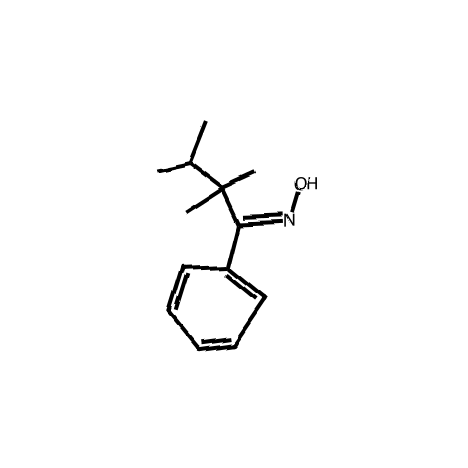 CC(C)C(C)(C)/C(=N\O)c1ccccc1